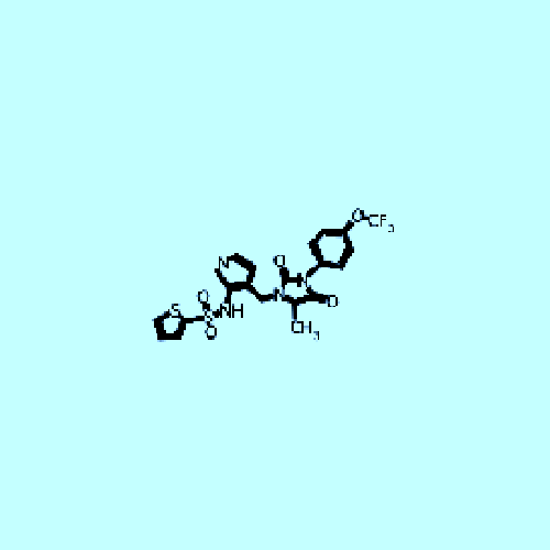 CC1C(=O)N(c2ccc(OC(F)(F)F)cc2)C(=O)N1Cc1ccncc1NS(=O)(=O)c1cccs1